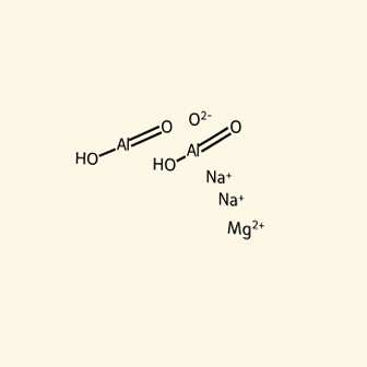 [Mg+2].[Na+].[Na+].[O-2].[O]=[Al][OH].[O]=[Al][OH]